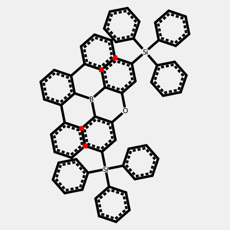 c1ccc(-c2cccc(-c3ccccc3)c2B2c3ccc([Si](c4ccccc4)(c4ccccc4)c4ccccc4)cc3Oc3cc([Si](c4ccccc4)(c4ccccc4)c4ccccc4)ccc32)cc1